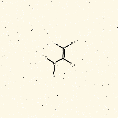 FC(F)=C(F)N(F)F